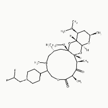 CO[C@]12C[C@@H](C)CN(C)C(C3CCN(CC(F)F)CC3)COC(=O)[C@H](C)C(=O)[C@H](C)[C@H]1O[C@@H]1O[C@H](C)C[C@H](N(C)C)[C@H]1O2